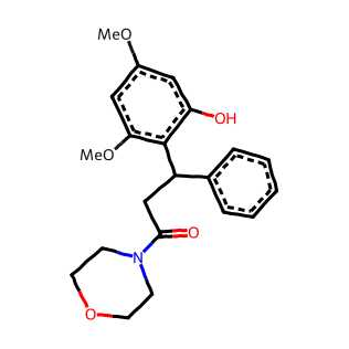 COc1cc(O)c(C(CC(=O)N2CCOCC2)c2ccccc2)c(OC)c1